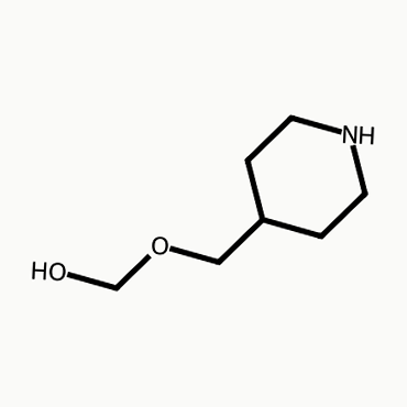 OCOCC1CCNCC1